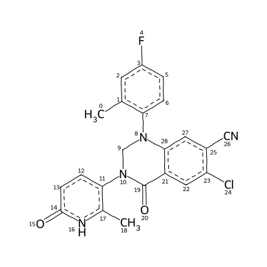 Cc1cc(F)ccc1N1CN(c2ccc(=O)[nH]c2C)C(=O)c2cc(Cl)c(C#N)cc21